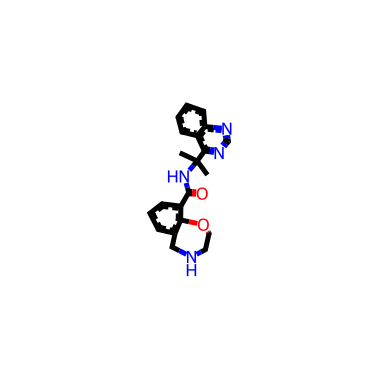 CC(C)(NC(=O)c1cccc2c1OCCNC2)c1ncnc2ccccc12